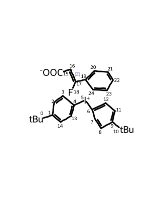 CC(C)(C)c1ccc([I+]c2ccc(C(C)(C)C)cc2)cc1.O=C([O-])/C=C(\F)c1ccccc1